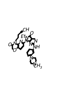 C#CCCCN1C(=O)COc2ccc(-n3c4nc(Nc5cccc(N6CCN(C)CC6)c5)ncc4c(=O)n3CC)nc21